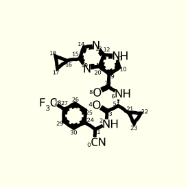 N#CC(NC(=O)[C@H](NC(=O)c1c[nH]c2ncc(C3CC3)nc12)C1CC1)c1ccc(C(F)(F)F)cc1